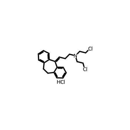 Cl.ClCCN(CCCl)CCC=C1c2ccccc2CCc2ccccc21